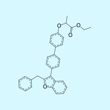 CCOC(=O)C(C)Oc1ccc(-c2ccc(-c3c(Cc4ccccc4)oc4ccccc34)cc2)cc1